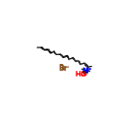 CCCCCCCCCCCCCCCCC(C)[N+](C)(C)O.[Br-]